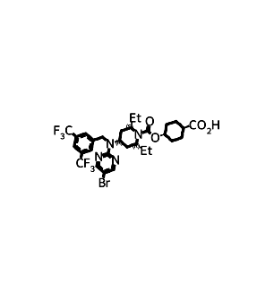 CC[C@@H]1C[C@H](N(Cc2cc(C(F)(F)F)cc(C(F)(F)F)c2)c2ncc(Br)cn2)C[C@H](CC)N1C(=O)O[C@H]1CC[C@H](C(=O)O)CC1